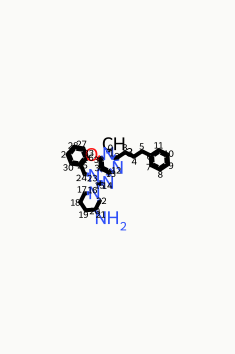 Cn1c(CCCc2ccccc2)nc2nc(N3CCCC(N)C3)n(Cc3ccccc3)c2c1=O